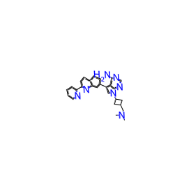 CN(C)CC1CC(n2cc(-c3ccc4ccc(-c5ccccn5)nc4c3)c3c(N)ncnc32)C1